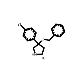 Cl.Clc1ccc(C2(OCc3ccccc3)CCNC2)cc1